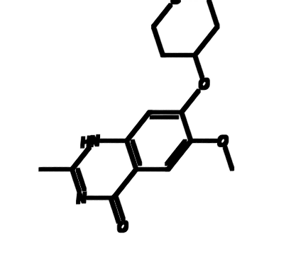 COc1cc2c(=O)nc(C)[nH]c2cc1OC1CCOCC1